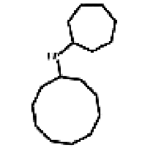 C1CCCCC(PC2CCCCCC2)CCCC1